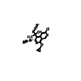 CC(C)(N=[N+]=[N-])c1cnc(OC2CC2)c2cnc(Cl)cc12.[Br-].[Br-].[Br-].[In+3]